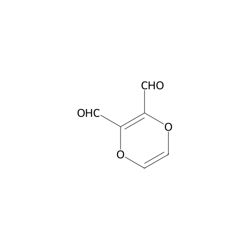 O=CC1=C(C=O)OC=CO1